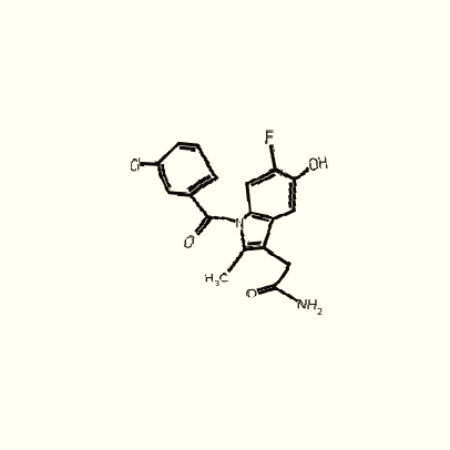 Cc1c(CC(N)=O)c2cc(O)c(F)cc2n1C(=O)c1cccc(Cl)c1